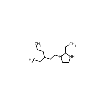 CCCC(CC)CCN1CCNC1CC